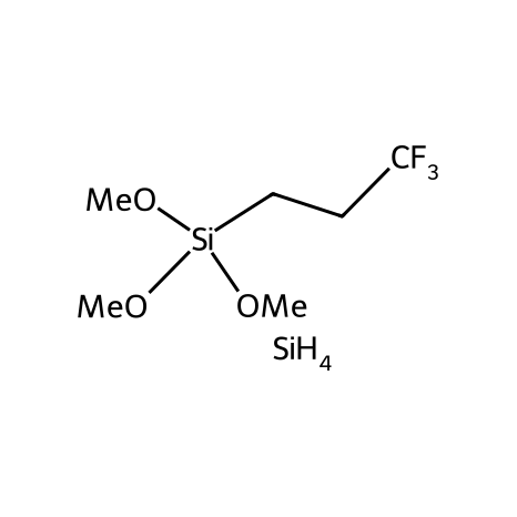 CO[Si](CCC(F)(F)F)(OC)OC.[SiH4]